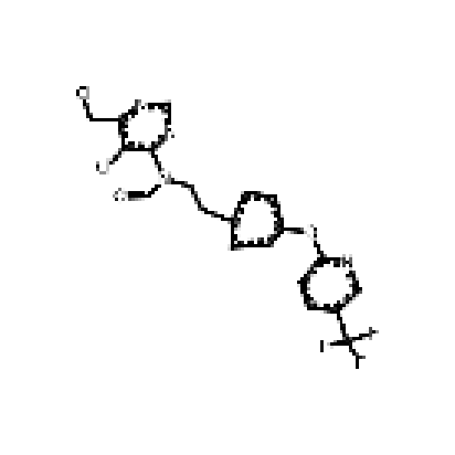 O=CN(CCc1ccc(Oc2ccc(C(F)(F)F)cn2)cc1)c1ncnc(CCl)c1Cl